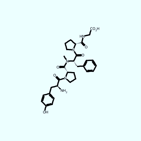 CN(C(=O)[C@@H]1CCCN1C(=O)[C@@H](N)Cc1ccc(O)cc1)[C@@H](Cc1ccccc1)C(=O)N1CCC[C@@H]1C(=O)NCC(=O)O